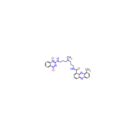 Cc1cccc2nc3cccc(C(=O)NCCCN(C)CCCNc4n[n+]([O-])c5ccccc5[n+]4[O-])c3nc12